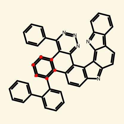 c1ccc(-c2ccccc2-c2ccccc2-c2ccc3c(c2-c2nnnc(-c4ccccc4)c2-c2ccccc2)-c2c4c(ccc2=N3)=c2ccccc2=N4)cc1